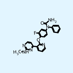 CNc1nccc(-c2cccnc2Oc2ccc(N(C(N)=O)c3ccccc3)cc2F)n1